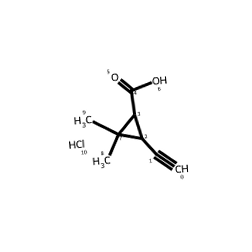 C#CC1C(C(=O)O)C1(C)C.Cl